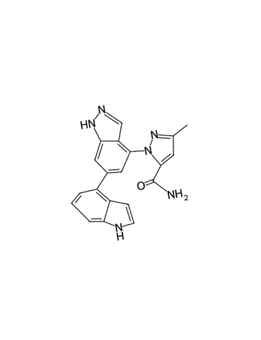 Cc1cc(C(N)=O)n(-c2cc(-c3cccc4[nH]ccc34)cc3[nH]ncc23)n1